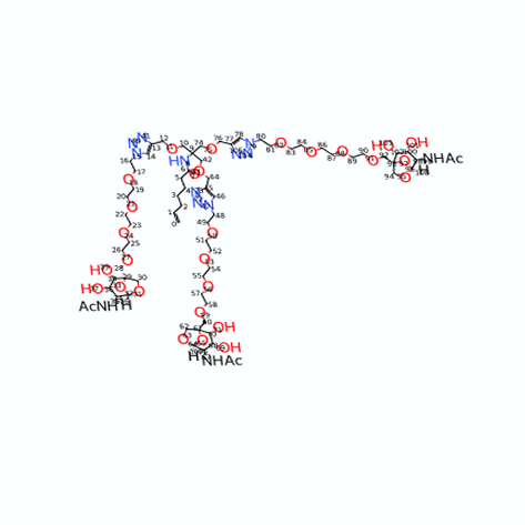 C=CCCCCC(=O)NC(COCc1cn(CCOCCOCCOCCOC[C@]23CO[C@@H](O2)[C@H](NC(C)=O)[C@@H](O)[C@H]3O)nn1)(COCc1cn(CCOCCOCCOCCOC[C@]23CO[C@@H](O2)[C@H](NC(C)=O)[C@@H](O)[C@H]3O)nn1)COCc1cn(CCOCCOCCOCCOC[C@]23CO[C@@H](O2)[C@H](NC(C)=O)[C@@H](O)[C@H]3O)nn1